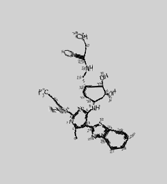 Cc1nc(NCC(F)(F)F)nc(N[C@@H]2C[C@H](CNC(=O)CO)[C@@H](O)[C@H]2O)c1-c1nc2ccccc2s1